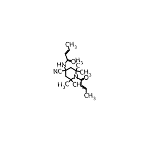 C/C=C/C(=O)NC1(C#N)CC(C)(C)N(C(=O)/C=C/C)C(C)(C)C1